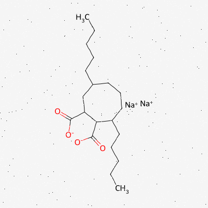 CCCCCC1CCCC(CCCCC)C(C(=O)[O-])C(C(=O)[O-])C1.[Na+].[Na+]